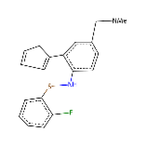 CNCc1ccc(NSc2ccccc2F)c(C2=CC=CC2)c1